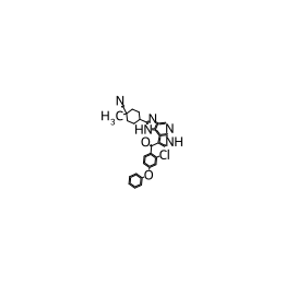 CC1(C#N)CCC(c2nc3cnc4[nH]cc(C(=O)c5ccc(Oc6ccccc6)cc5Cl)c4c3[nH]2)CC1